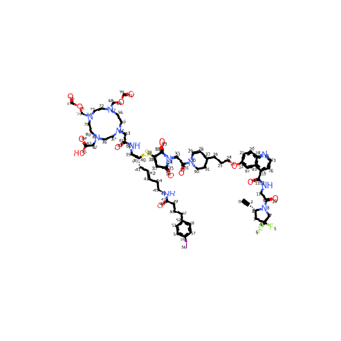 C#C[C@H]1CC(F)(F)CN1C(=O)CNC(=O)c1ccnc2ccc(OCCCC3CCN(C(=O)CN4C(=O)CC(S[C@H](CCCCCNC(=O)CCCc5ccc(I)cc5)CNC(=O)CN5CCN(COC=O)CCN(COC=O)CCN(CC(=O)O)CC5)C4=O)CC3)cc12